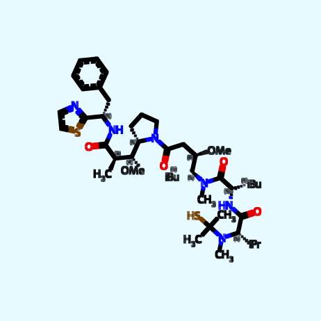 CC[C@H](C)[C@@H]([C@@H](CC(=O)N1CCC[C@H]1[C@H](OC)[C@@H](C)C(=O)N[C@@H](Cc1ccccc1)c1nccs1)OC)N(C)C(=O)[C@@H](NC(=O)[C@H](C(C)C)N(C)C(C)(C)S)[C@@H](C)CC